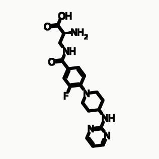 N[C@@H](CNC(=O)c1ccc(N2CCC(Nc3ncccn3)CC2)c(F)c1)C(=O)O